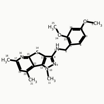 COc1ccc(CNc2nn(C)c3c2sc2nc(C)cc(C)c23)c(OC)c1